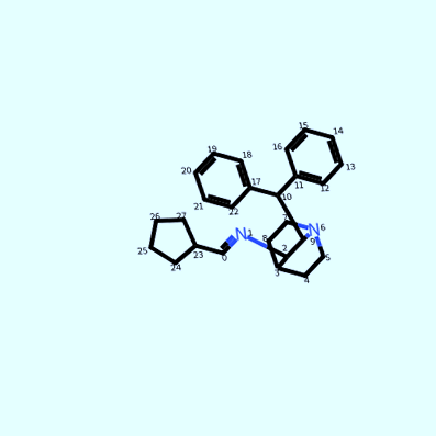 C(=NC1C2CCN(CC2)C1C(c1ccccc1)c1ccccc1)C1CCCC1